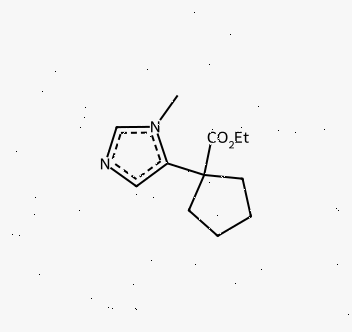 CCOC(=O)C1(c2cncn2C)CCCC1